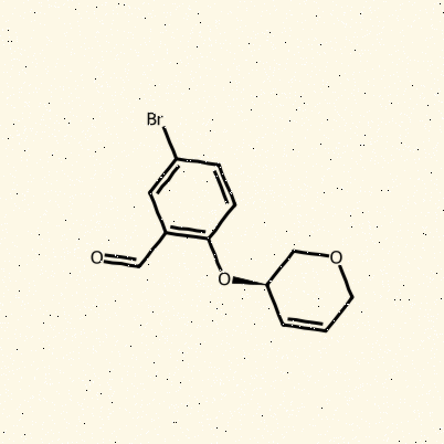 O=Cc1cc(Br)ccc1O[C@@H]1C=CCOC1